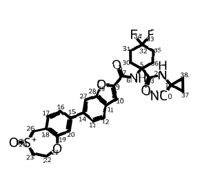 N#CC1(NC(=O)C2(NC(=O)c3cc4ccc(-c5ccc6c(c5)OCC[S+]([O-])C6)cc4o3)CCC(F)(F)CC2)CC1